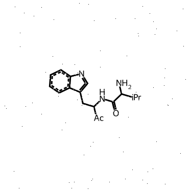 CC(=O)C(CC1=C=Nc2ccccc21)NC(=O)C(N)C(C)C